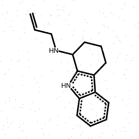 C=CCNC1CCCc2c1[nH]c1ccccc21